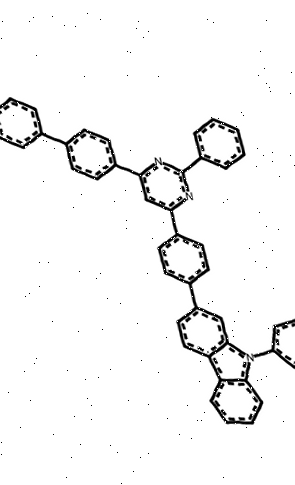 c1ccc(-c2ccc(-c3cc(-c4ccc(-c5ccc6c7ccccc7n(-c7ccccc7)c6c5)cc4)nc(-c4ccccc4)n3)cc2)cc1